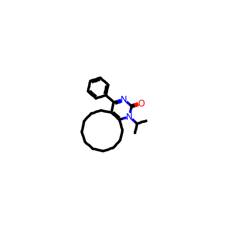 CC(C)n1c2c(c(-c3ccccc3)nc1=O)CCCCCCCCCC2